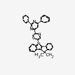 CC1(C)c2ccccc2-c2c1c1ccccc1n2-c1cnc(-c2cc(-c3ccccc3)nc(-c3ccccc3)n2)cn1